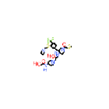 CSCC(=O)N1CCc2c(c(-c3ccc(C(F)(F)F)c(SCCN4CCCC4)c3)nn2CC(O)CN2CCC(NC(=O)CO)CC2)C1